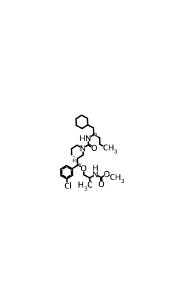 CCC[C@H](CC1CCCCC1)NC(=O)N1CCC[C@@H]([C@@H](OCC(C)NC(=O)OC)c2cccc(Cl)c2)C1